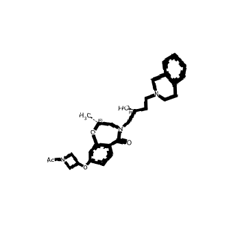 CC(=O)N1CC(Oc2ccc3c(c2)O[C@H](C)CN(C[C@H](O)CCN2CCc4ccccc4C2)C3=O)C1